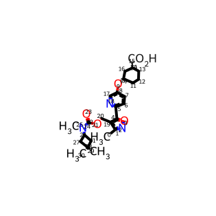 Cc1noc(-c2ccc(O[C@H]3CCC[C@H](C(=O)O)C3)cn2)c1COC(=O)N(C)C1CC(C)(C)C1